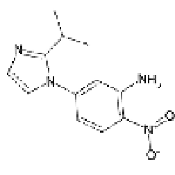 CC(C)c1nccn1-c1ccc([N+](=O)[O-])c(N)c1